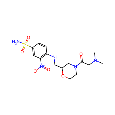 CN(C)CC(=O)N1CCOC(CNc2ccc(S(N)(=O)=O)cc2[N+](=O)[O-])C1